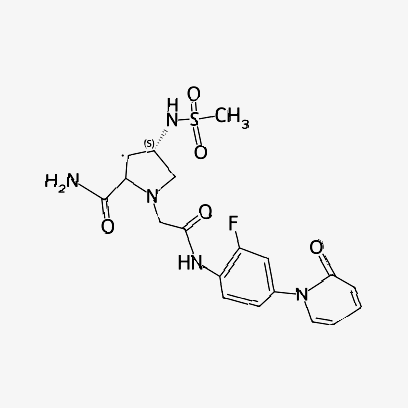 CS(=O)(=O)N[C@H]1[CH]C(C(N)=O)N(CC(=O)Nc2ccc(-n3ccccc3=O)cc2F)C1